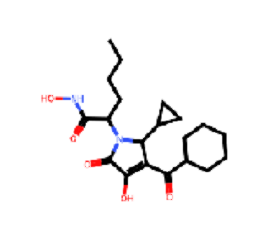 CCCCC(C(=O)NO)N1C(=O)C(O)=C(C(=O)C2CCCCC2)C1C1CC1